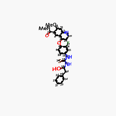 CNC(=O)c1cc2c(Oc3ccc(NC(=S)NC(O)Cc4ccccc4)cc3F)ccnc2cc1OC